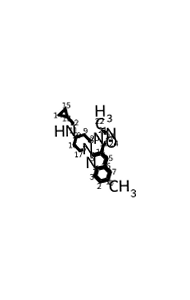 Cc1ccc2nc(N3CCC(NCC4CC4)CC3)c(-c3nc(C)no3)cc2c1